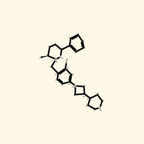 C[C@H]1CCC(c2ccccc2)SN1Cc1ccc(N2CC(C3CCOCC3)C2)cc1F